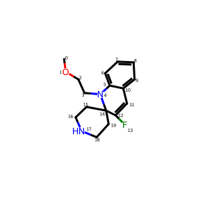 COCCN1c2ccccc2C=C(F)C12CCNCC2